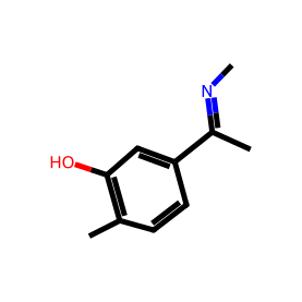 CN=C(C)c1ccc(C)c(O)c1